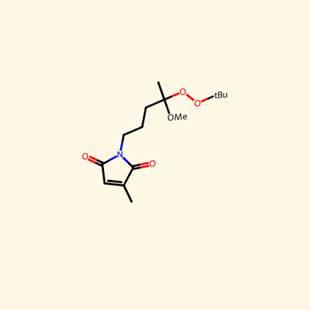 COC(C)(CCCN1C(=O)C=C(C)C1=O)OOC(C)(C)C